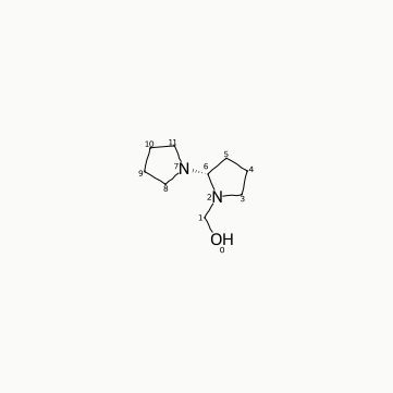 OCN1CCC[C@H]1N1CCCC1